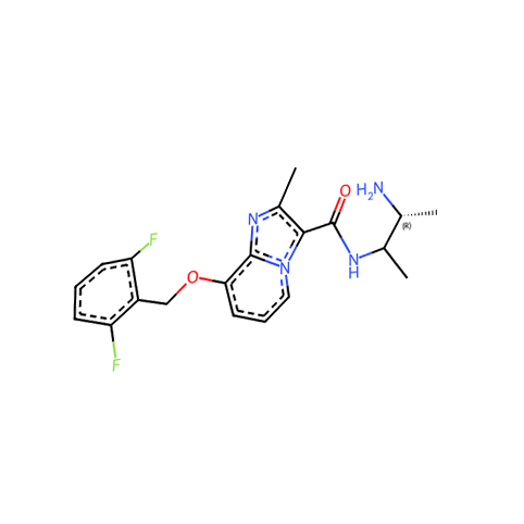 Cc1nc2c(OCc3c(F)cccc3F)cccn2c1C(=O)NC(C)[C@@H](C)N